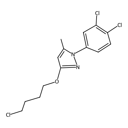 Cc1cc(OCCCCCl)nn1-c1ccc(Cl)c(Cl)c1